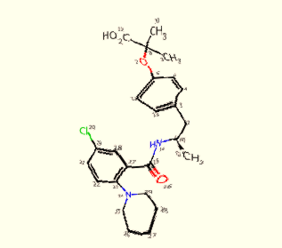 C[C@H](Cc1ccc(OC(C)(C)C(=O)O)cc1)NC(=O)c1cc(Cl)ccc1N1CCCCC1